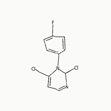 Fc1ccc(N2C(Cl)=CC=NC2Cl)cc1